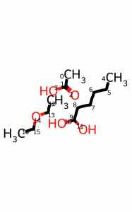 CC(=O)O.CCCCCC(O)O.CCOCC